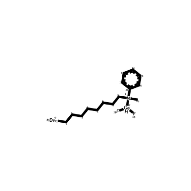 CCCCCCCCCCCCCCCCCC[N+](C)(c1ccccc1)[GeH]([F])[F]